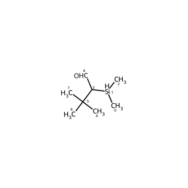 C[SiH](C)C(C=O)C(C)(C)C